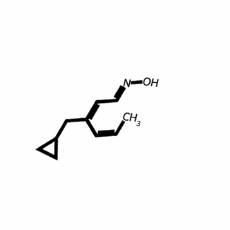 C\C=C/C(=C\C=N\O)CC1CC1